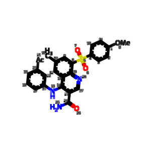 COc1ccc(S(=O)(=O)c2cc(C)cc3c(Nc4cccc(C(C)=O)c4)c(C(N)=O)cnc23)cc1